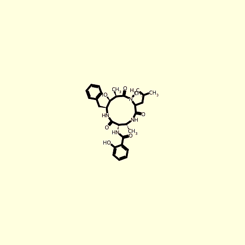 CC(C)CC1C(=O)N[C@H](C)[C@H](NC(=O)c2ccccc2O)C(=O)N[C@@H](Cc2ccccc2)[C@@H](O)[C@@H](C)C(=O)N1C